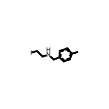 Cc1ccc(CNCCI)cc1